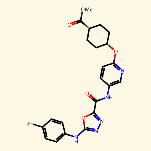 COC(=O)[C@H]1CC[C@@H](Oc2ccc(NC(=O)c3nnc(Nc4ccc(C(C)C)cc4)o3)cn2)CC1